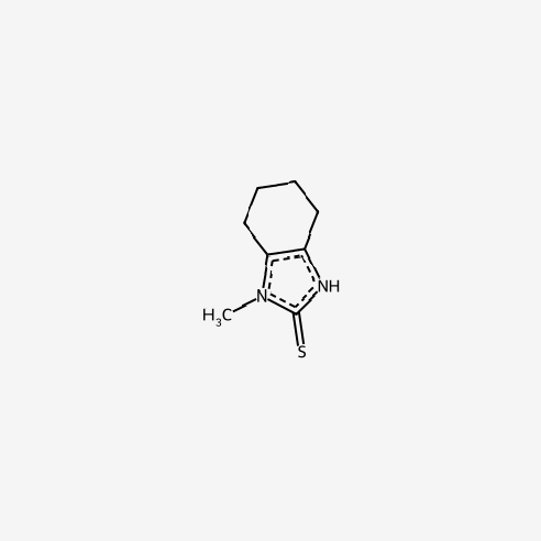 Cn1c2c([nH]c1=S)CCCC2